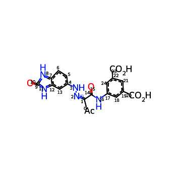 CC(=O)/C(=N/Nc1ccc2[nH]c(=O)[nH]c2c1)C(=O)Nc1cc(C(=O)O)cc(C(=O)O)c1